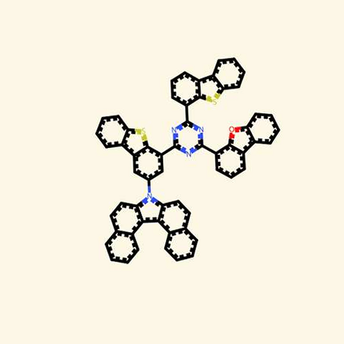 c1ccc2c(c1)ccc1c2c2c3ccccc3ccc2n1-c1cc(-c2nc(-c3cccc4c3oc3ccccc34)nc(-c3cccc4c3sc3ccccc34)n2)c2sc3ccccc3c2c1